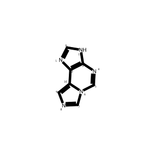 c1nc2c(ncn3cncc23)[nH]1